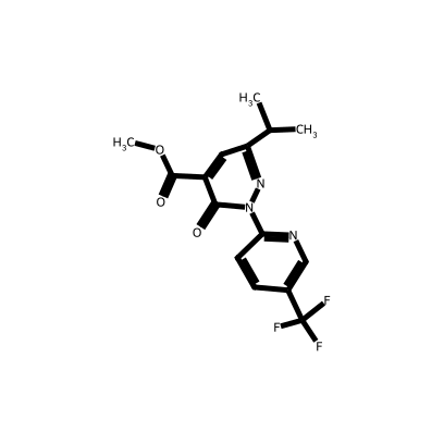 COC(=O)c1cc(C(C)C)nn(-c2ccc(C(F)(F)F)cn2)c1=O